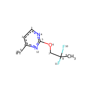 CC(C)c1ccnc(OCC(C)(F)F)n1